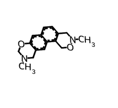 CN1COc2cc3ccc4c(c3cc2C1)CON(C)C4